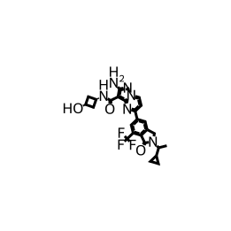 CC(C1CC1)N1Cc2cc(-c3ccn4nc(N)c(C(=O)N[C@H]5C[C@H](O)C5)c4n3)cc(C(F)(F)F)c2C1=O